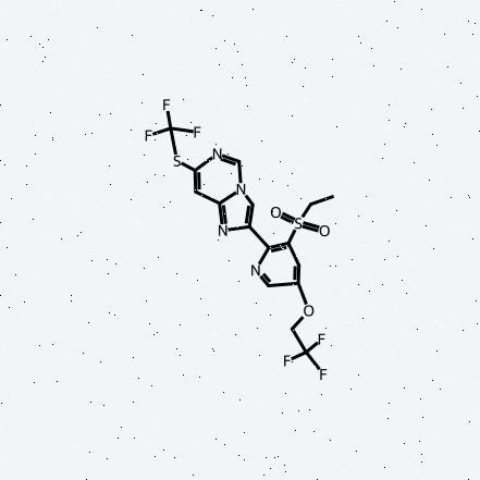 CCS(=O)(=O)c1cc(OCC(F)(F)F)cnc1-c1cn2cnc(SC(F)(F)F)cc2n1